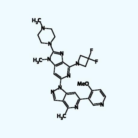 COc1ccncc1-c1cc2c(cnn2-c2cc3c(nc(N4CCN(C)CC4)n3C)c(N3CC(F)(F)C3)n2)c(C)n1